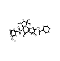 CC(Oc1nc(N2C[C@@H](C)CC2(C)C)c(C(=O)NS(=O)(=O)c2cccc(N)n2)cc1F)C1CCCCC1